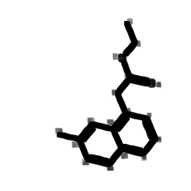 CCOC(=O)Cc1cccc2ccc(C)cc12